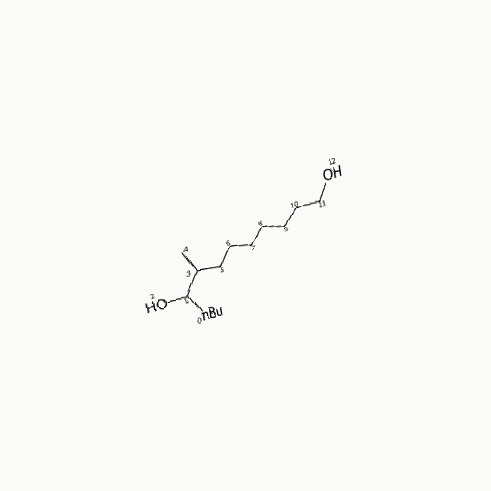 CCCCC(O)C(C)CCCCCCCO